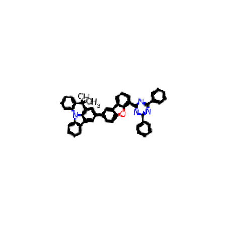 CC1(C)c2ccccc2-n2c3ccccc3c3cc(-c4ccc5oc6c(-c7nc(-c8ccccc8)nc(-c8ccccc8)n7)cccc6c5c4)cc1c32